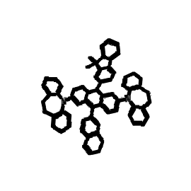 CC1(C)c2ccccc2-c2ccc(-c3c4ccc(N5C6=C(CCC=C6)CCc6ccccc65)cc4c(-c4ccc5c(c4)CCC=C5)c4ccc(N5C6=C(CCC=C6)CCc6ccccc65)cc34)cc21